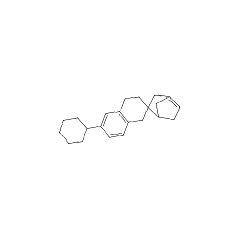 C1=C2CC(C1)C1(CCc3cc(C4CCCCC4)ccc3C1)C2